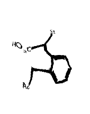 CCC(C(=O)O)c1ccccc1CC(C)=O